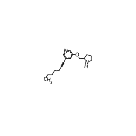 CCCCCC#Cc1cncc(OCC2CCCN2)c1